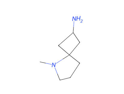 CN1CCCC12CC(N)C2